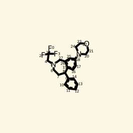 FC(F)(F)CN1CCC(c2ccccc2)c2ccc(N3CCOCC3)cc2C1